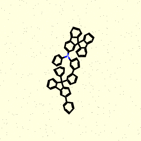 c1ccc(-c2ccc3c(c2)-c2ccccc2C3(c2ccccc2)c2cccc(-c3cccc(N(c4ccccc4)c4ccc5c(c4)C4(c6ccccc6-c6ccccc64)c4ccccc4-5)c3)c2)cc1